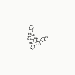 Cc1cc(C(=O)N[C@@H](Cc2ccccc2)[C@H](O)C(=O)N2CSC(C)(C)[C@H]2C(=O)NCc2ccccc2C)ccc1Br